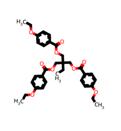 CCOc1ccc(C(=O)OCC(CC)(COC(=O)c2ccc(OCC)cc2)COC(=O)c2ccc(OCC)cc2)cc1